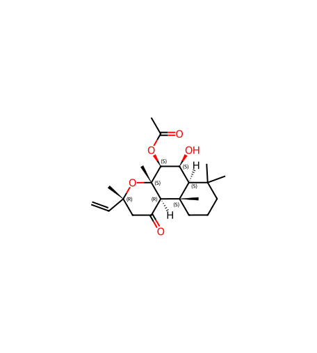 C=C[C@@]1(C)CC(=O)[C@@H]2[C@@]3(C)CCCC(C)(C)[C@@H]3[C@H](O)[C@H](OC(C)=O)[C@@]2(C)O1